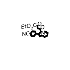 CCOC(=O)C(=O)CC(=O)c1c(-c2ccc(C#N)cc2)cc2ccccn12